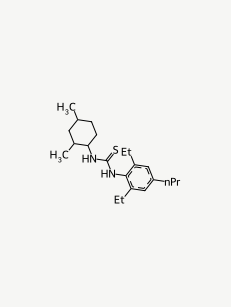 CCCc1cc(CC)c(NC(=S)NC2CCC(C)CC2C)c(CC)c1